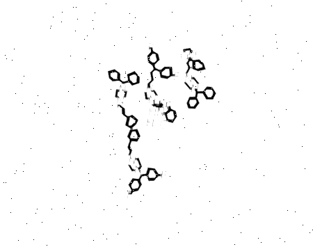 C(=C\c1ccccc1)/CN1CCN(C(c2ccccc2)c2ccccc2)CC1.Cc1cccc(C)c1NC(=O)CN1CCN(CCCC(c2ccc(F)cc2)c2ccc(F)cc2)CC1.Fc1ccc(C(c2ccc(F)cc2)N2CCN(C/C=C/c3ccccc3)CC2)cc1.c1ccc(C(c2ccccc2)N2CCN(CCCC3(c4ccccc4)OCCO3)CC2)cc1